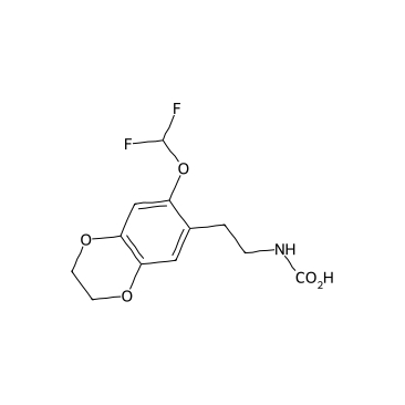 O=C(O)NCCc1cc2c(cc1OC(F)F)OCCO2